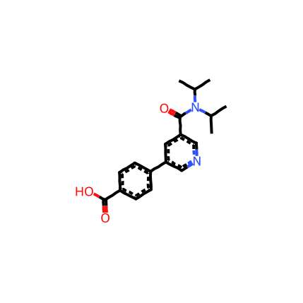 CC(C)N(C(=O)c1cncc(-c2ccc(C(=O)O)cc2)c1)C(C)C